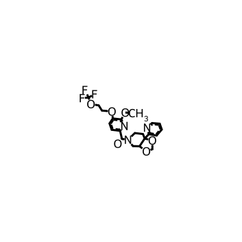 COc1nc(C(=O)N2CCC3(c4ccccn4)OCOC3C2)ccc1OCCOC(F)(F)F